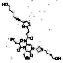 CC(C)C[C@H]1ON(C(=O)/C=C/c2nc(C#CCCCCO)cs2)C2=CN(C3CN(CCCCO)C3)C(=O)[C@H](CC(C)(C)C)N2C1=O